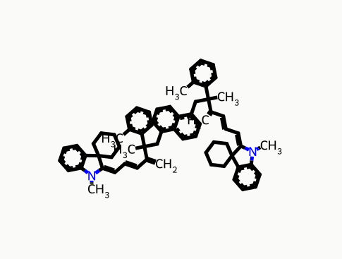 C=C(/C=C/C=C1/N(C)c2ccccc2C12CCCCC2)C(C)(Cc1cccc2c(CC(C)(C(=C)/C=C/C=C3/N(C)c4ccccc4C34CCCCC4)c3ccccc3C)cccc12)c1ccccc1C